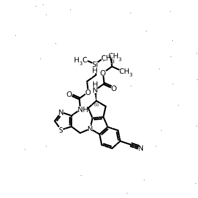 CC(C)OC(=O)N[C@H]1Cc2c(n(Cc3scnc3NC(=O)OCC[SiH](C)C)c3ccc(C#N)cc23)C1